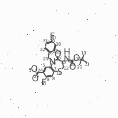 COC(=O)c1cc2c(cc1F)SC[C@H](NC(=O)OC(C)(C)C)C(=O)N2Cc1ccc(F)cc1